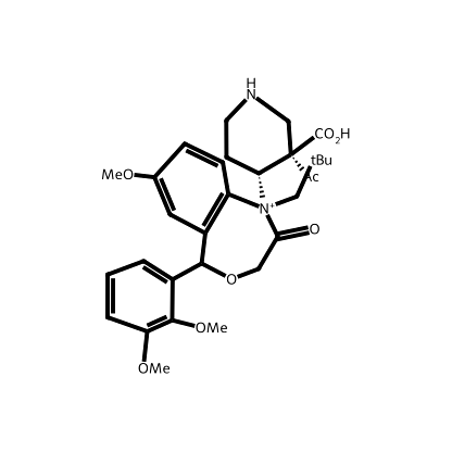 COc1ccc2c(c1)C(c1cccc(OC)c1OC)OCC(=O)[N+]2(CC(C)(C)C)[C@@H]1CCNC[C@@]1(C(C)=O)C(=O)O